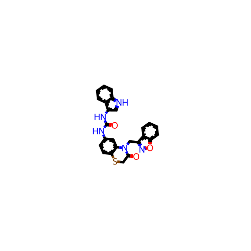 O=C(Nc1ccc2c(c1)N(Cc1noc3ccccc13)C(=O)CS2)Nc1c[nH]c2ccccc12